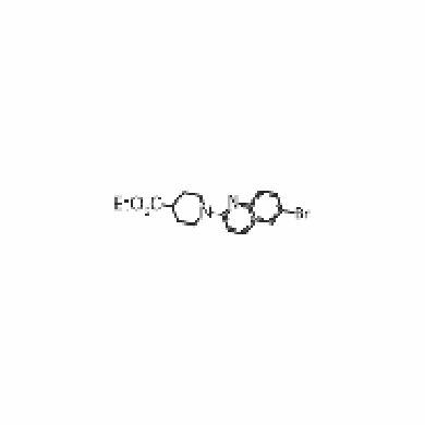 CCOC(=O)C1CCN(c2ccc3cc(Br)ccc3n2)CC1